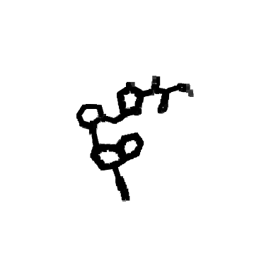 CC(=O)Nc1ncc(CN2CCCCN2c2ccc(C#N)c3ccccc23)s1